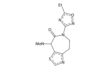 CCc1nc(N2CCc3ncsc3C(NC)C2=O)no1